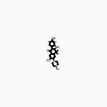 CCc1cc2c(cc1N1CCN(C(C)=O)CC1)C(C)(C)c1[nH]c3cc(C#N)ccc3c1C2=O